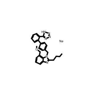 CCCCc1nc2cccc(COC)c2n1Cc1ccc(-c2ccccc2-c2nnn[nH]2)cc1.[Na]